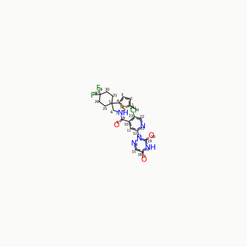 Cc1ccc(C2(CNC(=O)c3cc(-n4ncc(=O)[nH]c4=O)ncc3Cl)CCC(F)(F)CC2)s1